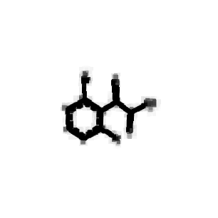 O=C(O)C(=O)c1c(Br)cccc1Br